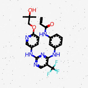 C=CC(=O)Nc1cccc(Nc2nc(Nc3ccc(OCC(C)(C)O)nc3)ncc2C(F)(F)F)c1